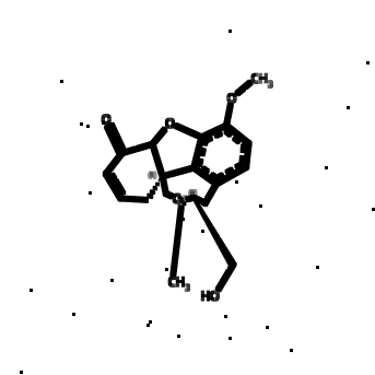 COc1ccc2c3c1OC1C(=O)C=CC[C@@]31CCN(C)[C@@H](CO)C2